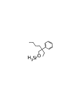 CCCCC(CC)(CO[SiH3])c1ccccc1